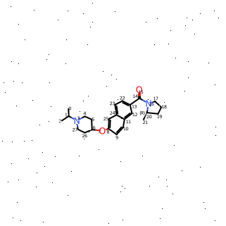 CC(C)N1CCC(Oc2ccc3cc(C(=O)N4CCC[C@H]4C)ccc3c2)CC1